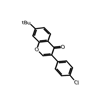 CC(C)(C)c1ccc2c(=O)c(-c3ccc(Cl)cc3)coc2c1